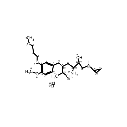 COCCCOc1cc(C[C@@H](C[C@H](N)[C@@H](O)CNC2CC2)C(C)C)ccc1OC.Cl.Cl